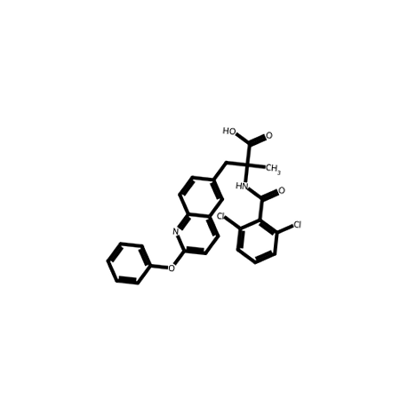 CC(Cc1ccc2nc(Oc3ccccc3)ccc2c1)(NC(=O)c1c(Cl)cccc1Cl)C(=O)O